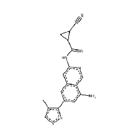 Cc1csnc1-c1cc(N)c2cnc(NC(=O)C3CC3C#N)cc2c1